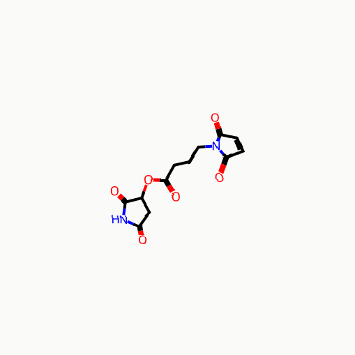 O=C1CC(OC(=O)CCCN2C(=O)C=CC2=O)C(=O)N1